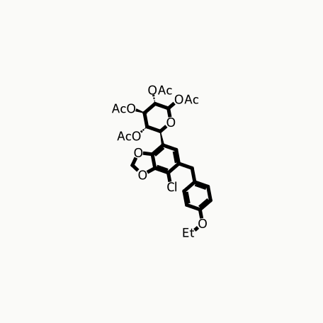 CCOc1ccc(Cc2cc([C@@H]3OC(OC(C)=O)[C@@H](OC(C)=O)[C@H](OC(C)=O)[C@H]3OC(C)=O)c3c(c2Cl)OCO3)cc1